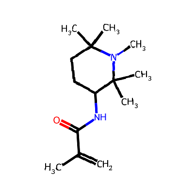 C=C(C)C(=O)NC1CCC(C)(C)N(C)C1(C)C